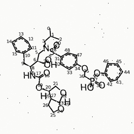 CC(C)CN(C[C@@H](O)[C@H](Cc1ccccc1)NC(=O)O[C@H]1CO[C@H]2OCC[C@H]21)S(=O)(=O)c1ccc(OCP(=O)(O)Oc2ccccc2)cc1